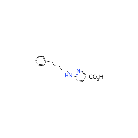 O=C(O)c1ccc(NCCCCCc2ccccc2)nc1